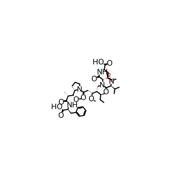 CC[C@H](C)[C@@H](CN(C(=O)[C@H](C(C)C)N(C)CCCC(=O)O)[C@H](C(N)=O)C(C)C)[C@@H](CC(=O)N1CCC[C@H]1[C@H](OC)[C@@H](C)C(=O)N[C@@H](Cc1ccccc1)C(=O)O)OC